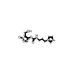 O=C(NCCCn1ccnc1)Oc1no[n+]([O-])c1CO